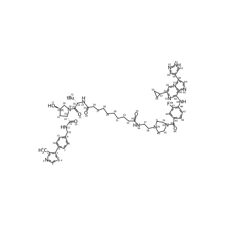 Cc1ncsc1-c1ccc(CNC(=O)[C@@H]2C[C@@H](O)CN2C(=O)[C@@H](NC(=O)CCCCCCCCC(=O)NCCN2CCN(C(=O)c3ccc(Nc4nc(C5CC5)cn5c(-c6cn[nH]c6)cnc45)c(F)c3)CC2)C(C)(C)C)cc1